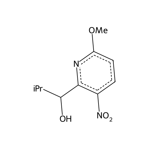 COc1ccc([N+](=O)[O-])c(C(O)C(C)C)n1